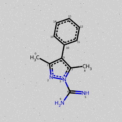 Cc1nn(C(=N)N)c(C)c1-c1ccccc1